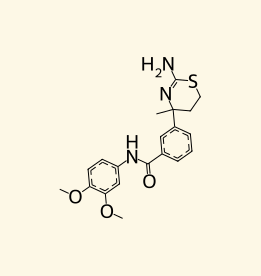 COc1ccc(NC(=O)c2cccc(C3(C)CCSC(N)=N3)c2)cc1OC